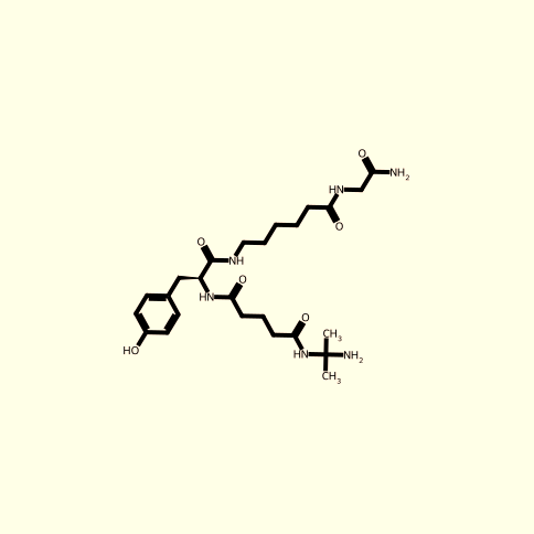 CC(C)(N)NC(=O)CCCC(=O)N[C@@H](Cc1ccc(O)cc1)C(=O)NCCCCCC(=O)NCC(N)=O